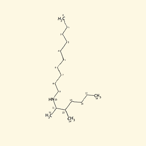 CCCCCCCCCCNC(C)C(C)CCCC